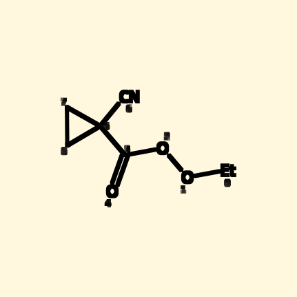 CCOOC(=O)C1(C#N)CC1